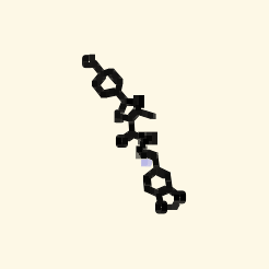 Cc1nc(-c2ccc(Cl)cc2)sc1C(=O)N/N=C/c1ccc2c(c1)OCO2